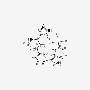 Cc1[nH]ncc1C1N[C@H](C)CN(c2nccc(-c3cnc4ccc(C(F)(F)F)cn34)n2)[C@@H]1C